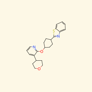 c1cnc(OC2CCC(c3nc4ccccc4s3)CC2)c(C2CCOCC2)c1